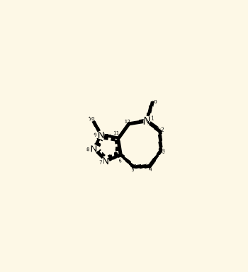 CN1CCCCc2nnn(C)c2C1